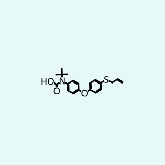 C=CCSc1ccc(Oc2ccc(N(C(=O)O)C(C)(C)C)cc2)cc1